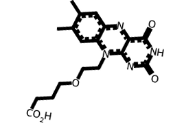 Cc1cc2nc3c(=O)[nH]c(=O)nc-3n(CCOCCCC(=O)O)c2cc1C